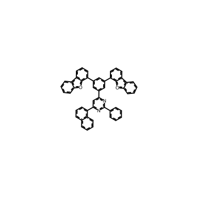 c1ccc(-c2nc(-c3cc(-c4cccc5c4oc4ccccc45)cc(-c4cccc5c4oc4ccccc45)c3)cc(-c3cccc4ccccc34)n2)cc1